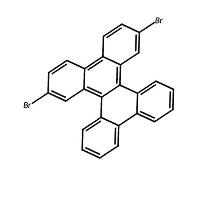 Brc1ccc2c3ccc(Br)cc3c3c4ccccc4c4ccccc4c3c2c1